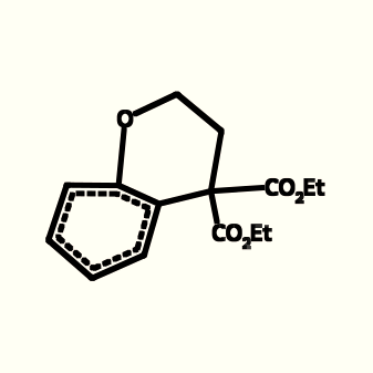 CCOC(=O)C1(C(=O)OCC)CCOc2ccccc21